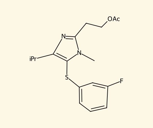 CC(=O)OCCc1nc(C(C)C)c(Sc2cccc(F)c2)n1C